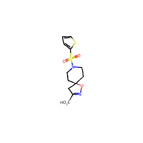 O=C(O)C1=NOC2(CCN(S(=O)(=O)c3cccs3)CC2)C1